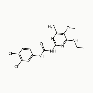 CCNc1nc(NC(=O)Nc2ccc(Cl)c(Cl)c2)nc(N)c1OC